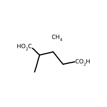 C.CC(CCC(=O)O)C(=O)O